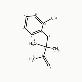 CC(=O)C(C)(C)Cc1ccccc1Cl